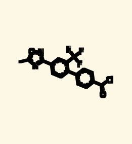 Cc1nc(-c2ccc(-c3ccc(C(=O)Cl)cc3)c(C(F)(F)F)c2)no1